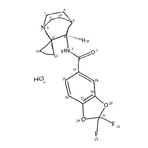 Cl.O=C(N[C@@H]1C2CCN(CC2)C12CC2)c1ccc2c(c1)OC(F)(F)O2